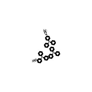 [C]=O.[H-].[H-].[H-].[H-].[Os+4].c1ccc(P(c2ccccc2)c2ccccc2)cc1.c1ccc(P(c2ccccc2)c2ccccc2)cc1.c1ccc(P(c2ccccc2)c2ccccc2)cc1